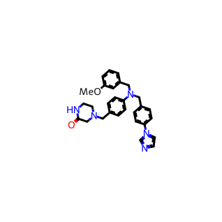 COc1cccc(CN(Cc2ccc(-n3ccnc3)cc2)c2ccc(CN3CCNC(=O)C3)cc2)c1